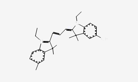 CCN1/C(=C/C=C/C2=[N+](CC)c3ccc(C)cc3C2(C)C)C(C)(C)c2cc(O)ccc21